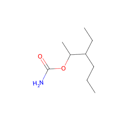 CCCC(CC)C(C)OC(N)=O